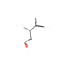 CC(C)C(C)CC=O